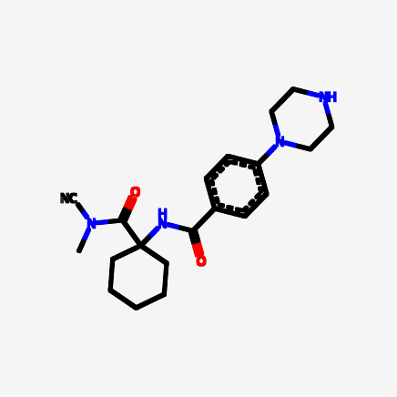 CN(C#N)C(=O)C1(NC(=O)c2ccc(N3CCNCC3)cc2)CCCCC1